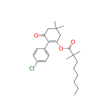 CCCCCCC(C)(C)C(=O)OC1=C(c2ccc(Cl)cc2)C(=O)CC(C)(C)C1